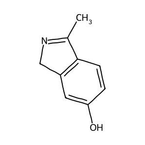 CC1=NCc2cc(O)ccc21